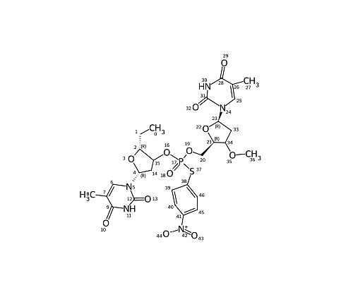 CC[C@H]1O[C@@H](n2cc(C)c(=O)[nH]c2=O)CC1OP(=O)(OC[C@H]1O[C@@H](n2cc(C)c(=O)[nH]c2=O)CC1OC)Sc1ccc([N+](=O)[O-])cc1